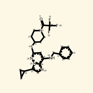 O=C(N1CCC(Sc2cc(NCc3ccccc3)c3ncc(C4CC4)n3n2)CC1)C(F)(F)F